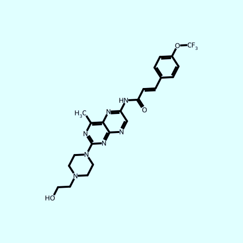 Cc1nc(N2CCN(CCO)CC2)nc2ncc(NC(=O)/C=C/c3ccc(OC(F)(F)F)cc3)nc12